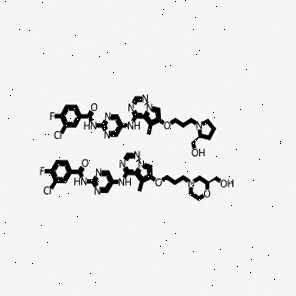 Cc1c(OCCCN2CCC[C@H]2CO)cn2ncnc(Nc3cnc(NC(=O)c4ccc(F)c(Cl)c4)nc3)c12.Cc1c(OCCCN2CCO[C@H](CO)C2)cn2ncnc(Nc3cnc(NC(=O)c4ccc(F)c(Cl)c4)nc3)c12